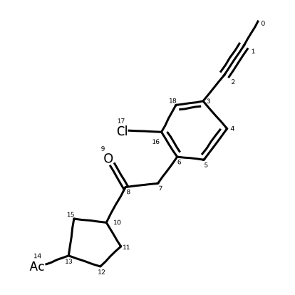 CC#Cc1ccc(CC(=O)C2CCC(C(C)=O)C2)c(Cl)c1